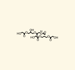 C1CO1.O=C(CO)OCC(O)COC(=O)CO.O=C(CO)OCCCOC(=O)CO